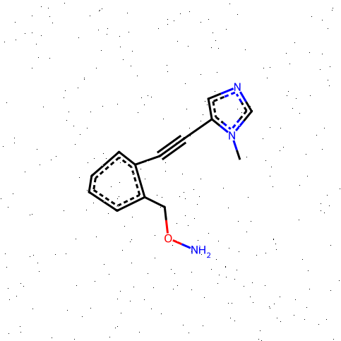 Cn1cncc1C#Cc1ccccc1CON